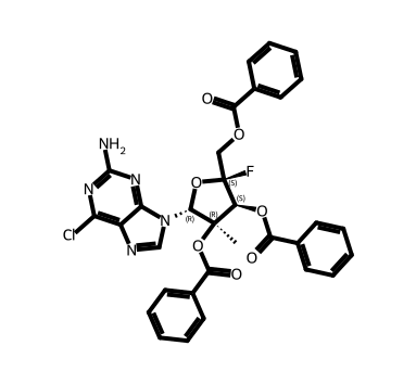 C[C@]1(OC(=O)c2ccccc2)[C@H](n2cnc3c(Cl)nc(N)nc32)O[C@](F)(COC(=O)c2ccccc2)[C@H]1OC(=O)c1ccccc1